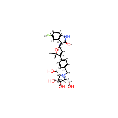 CC1(C)O/C(=C2/C(=O)Nc3ccc(F)cc32)C=C1c1ccc(CN2[C@H](CO)[C@@H](O)[C@@H](O)[C@@H]2CO)cc1